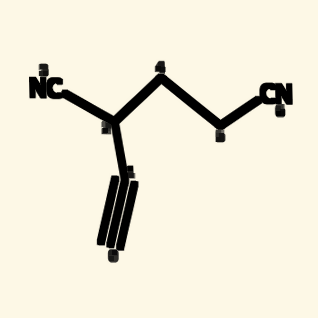 C#CC(C#N)CCC#N